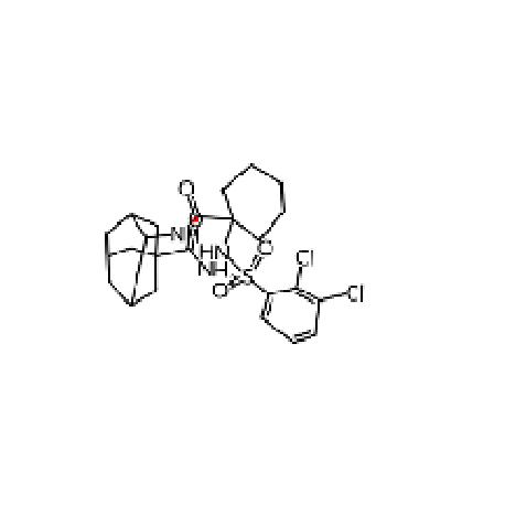 NC(=O)C12CC3CC(C1)C(NC(=O)C1(NS(=O)(=O)c4cccc(Cl)c4Cl)CCCCC1)C(C3)C2